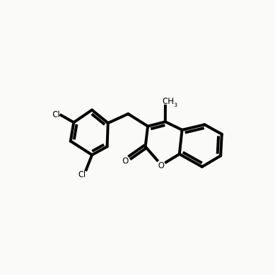 Cc1c(Cc2cc(Cl)cc(Cl)c2)c(=O)oc2ccccc12